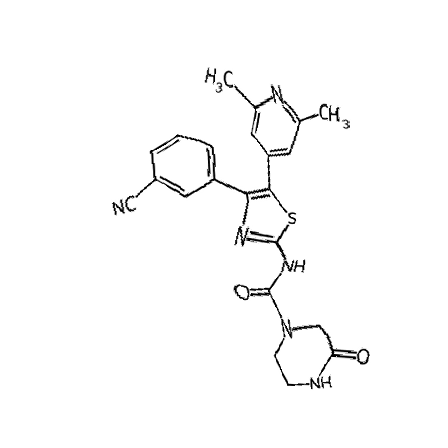 Cc1cc(-c2sc(NC(=O)N3CCNC(=O)C3)nc2-c2cccc(C#N)c2)cc(C)n1